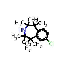 CC1(C)NC(C)(C)C(C)(C)c2cc(Cl)ccc2C1(C)C